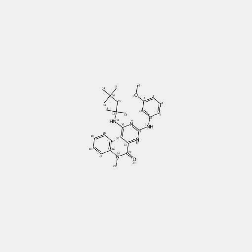 COc1cccc(Nc2nc(NC(C)(C)CC(C)(C)C)cc(C(=O)N(C)c3ccccc3)n2)c1